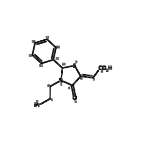 CC(C)CCN1C(=O)C(=CC(=O)O)SC1c1ccccc1